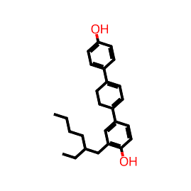 CCCCC(CC)Cc1cc(C2=CC=C(c3ccc(O)cc3)CC2)ccc1O